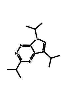 CC(C)c1nnc2c(n1)c(C(C)C)cn2C(C)C